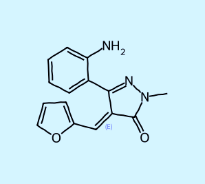 CN1N=C(c2ccccc2N)/C(=C\c2ccco2)C1=O